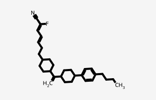 C=C(C1CCC(CCC=CC=C(F)C#N)CC1)C1CCC(c2ccc(CCCC)cc2)CC1